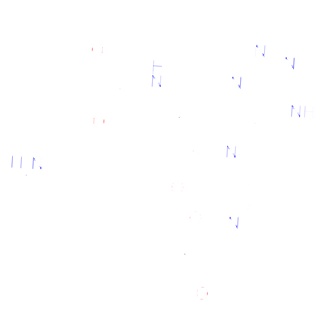 CCC(=O)O/N=C(/C)N(C(=O)C(C)(C#CCN)NC(=O)OC(C)(C)C)c1nnn[nH]1